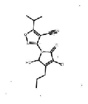 CCCC1=C(Cl)C(=O)N(c2noc(C(C)C)c2C#N)C1O